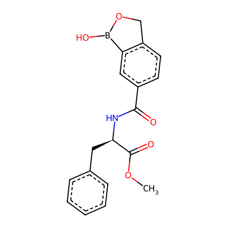 COC(=O)[C@@H](Cc1ccccc1)NC(=O)c1ccc2c(c1)B(O)OC2